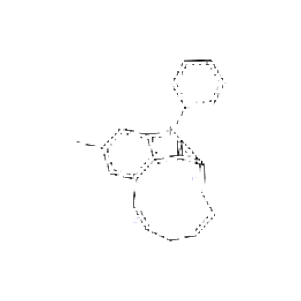 C=c1/c2n(-c3ccccc3)c3cc(I)cc(c13)/C=C\C/C=C\C=2